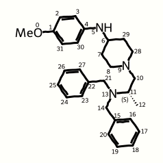 COc1ccc(NC2CCN(C[C@H](C)N(Cc3ccccc3)Cc3ccccc3)CC2)cc1